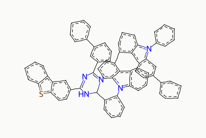 c1ccc(-c2cccc(C3=NC(c4ccccc4-n4c5ccccc5c5c(-c6cccc7c6c6ccc(-c8ccccc8)cc6n7-c6ccccc6)cccc54)NC(c4ccc5sc6ccccc6c5c4)=N3)c2)cc1